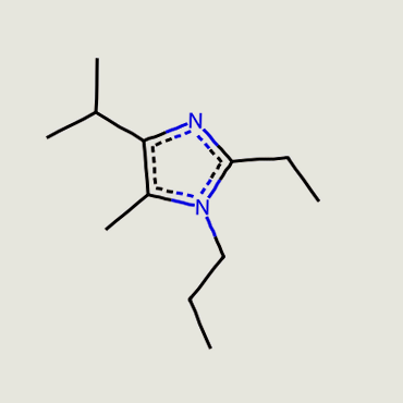 CCCn1c(CC)nc(C(C)C)c1C